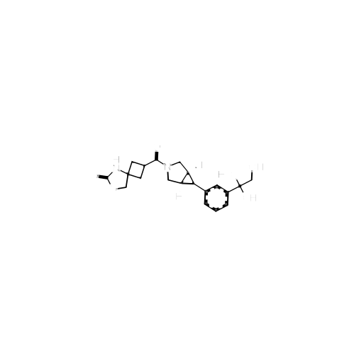 CC(C)(CO)c1cccc(C2[C@H]3CN(C(=O)C4CC5(COC(=O)N5)C4)C[C@@H]23)c1